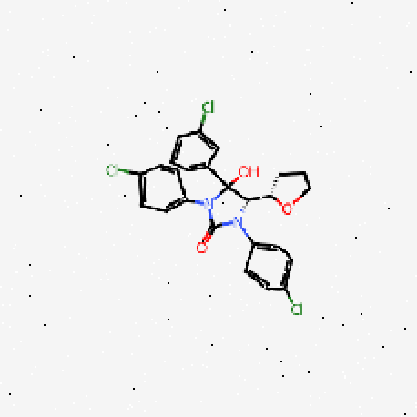 O=C1N(c2ccc(Cl)cc2)[C@@H]([C@@H]2CCCO2)C(O)(c2cccc(Cl)c2)N1c1ccc(Cl)cc1